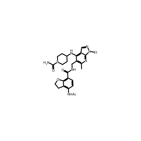 CCn1ncc2c(NC3CCN(C(N)=O)CC3)c(CNC(=O)c3ccc(NC(C)=O)c4c3OCC4)c(C)nc21